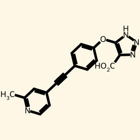 Cc1cc(C#Cc2ccc(Oc3[nH]nnc3C(=O)O)cc2)ccn1